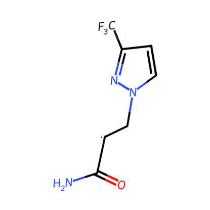 NC(=O)[CH]Cn1ccc(C(F)(F)F)n1